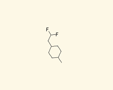 CC1CCC(CC(F)F)CC1